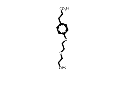 CC(=O)OCCSCCOc1ccc(CCC(=O)O)cc1